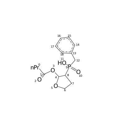 CCCC(=O)OC1OCCC1P(=O)(O)Cc1ccccc1